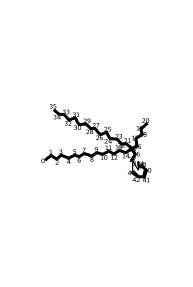 CCCCCCCCCCCCCCCC(CCCCC)(CCCCCCCCCCCCCCC)CC[n+]1ccccc1